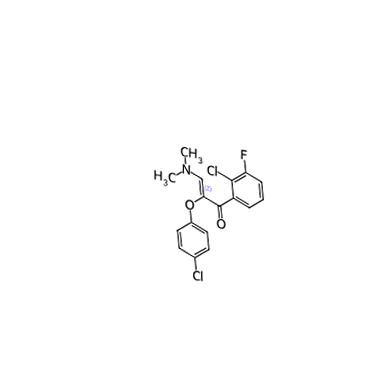 CN(C)/C=C(\Oc1ccc(Cl)cc1)C(=O)c1cccc(F)c1Cl